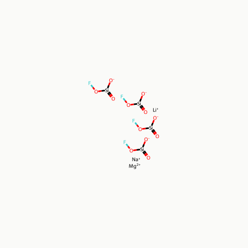 O=[Si]([O-])OF.O=[Si]([O-])OF.O=[Si]([O-])OF.O=[Si]([O-])OF.[Li+].[Mg+2].[Na+]